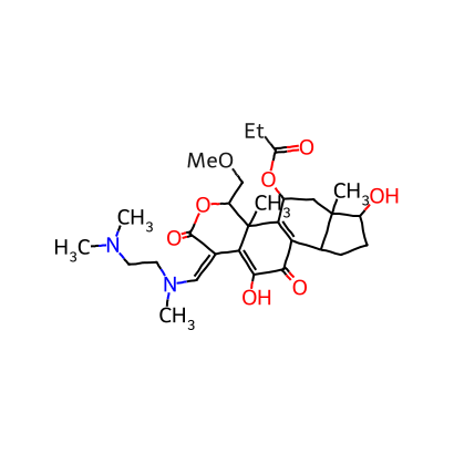 CCC(=O)OC1CC2(C)C(O)CCC2C2=C1C1(C)C(=C(O)C2=O)C(=CN(C)CCN(C)C)C(=O)OC1COC